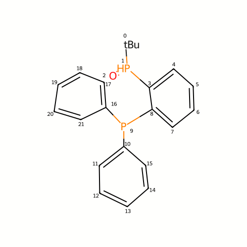 CC(C)(C)[PH](=O)c1ccccc1P(c1ccccc1)c1ccccc1